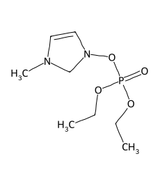 CCOP(=O)(OCC)ON1C=CN(C)C1